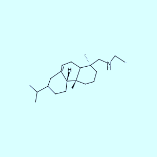 [CH2]CNC[C@@]1(C)CCC[C@@]2(C)C1CC=C1CC(C(C)C)CC[C@H]12